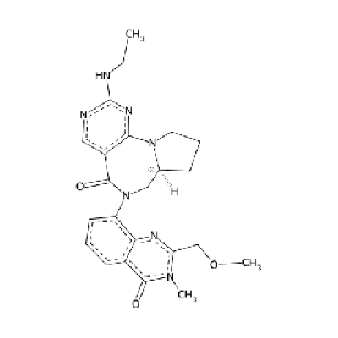 CCNc1ncc2c(n1)N1CCC[C@H]1CN(c1cccc3c(=O)n(C)c(COC)nc13)C2=O